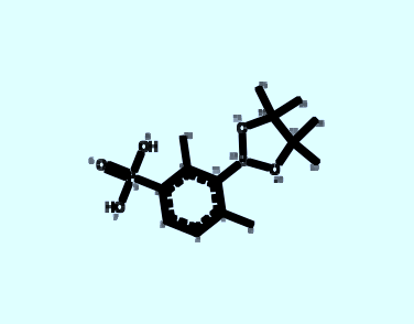 Cc1ccc(P(=O)(O)O)c(C)c1B1OC(C)(C)C(C)(C)O1